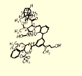 COC1=C(CN2O[C@@H](CO)[C@@H]([C@H](C)O)[C@H]2C(=O)N[C@H]2C[C@H]3C[C@@H]([C@@H]2C)C3(C)C)C=CCC1C1C=C(C(=O)N[C@H](CN(C)C)[C@@H](NS(C)(=O)=O)c2ccccc2)C=C(N(C)CCO)C1